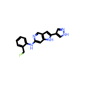 FCc1ccccc1Nc1cc2[nH]c(-c3cn[nH]c3)cc2cn1